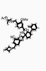 COc1cc(C(=O)NC2(c3nc4cc(CN5CC(F)C5)cc(C#N)c4o3)C=CC=C(c3ccccc3C)C2Cl)ncc1CNCC(C)OC(C)=O